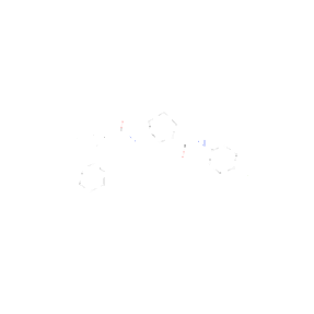 Cc1cc(F)ccc1NC(=O)c1cccc(NC(=O)C2C(c3cc(Cl)cc(Cl)c3)C2(Cl)Cl)c1